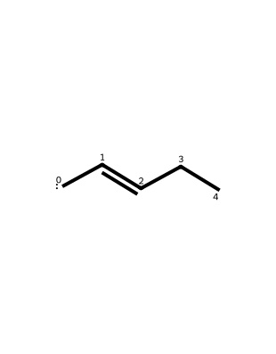 [CH]/C=C/CC